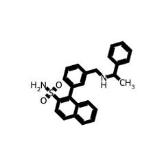 CC(NCc1cccc(-c2c(S(N)(=O)=O)ccc3ccccc23)c1)c1ccccc1